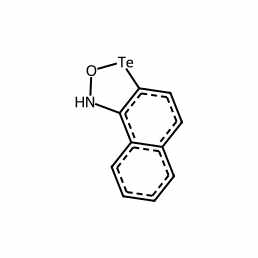 c1ccc2c3c(ccc2c1)[Te]ON3